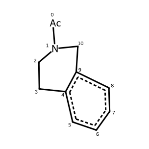 [CH2]C(=O)N1CCc2ccccc2C1